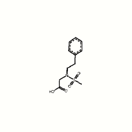 CS(=O)(=O)N(CCc1ccccc1)CC(=O)O